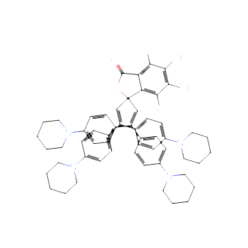 O=C1OC(C=C(c2ccc(N3CCCCC3)cc2)c2ccc(N3CCCCC3)cc2)(C=C(c2ccc(N3CCCCC3)cc2)c2ccc(N3CCCCC3)cc2)c2c(Cl)c(Cl)c(Cl)c(Cl)c21